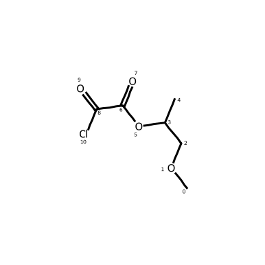 COCC(C)OC(=O)C(=O)Cl